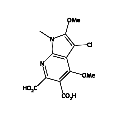 COc1c(C(=O)O)c(C(=O)O)nc2c1c(Cl)c(OC)n2C